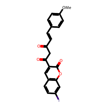 COc1ccc(C=CC(=O)CC(=O)c2cc3ccc(I)cc3oc2=O)cc1